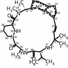 CC(C)[C@@H]1NCC(C)(C)/C=C/c2ccc3ccc(nc3c2)[C@@H](C)N(C)C(=O)[C@@H]2CCCN(N2)C(=O)[C@H](C)NC1=O